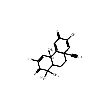 C#CC12C=C(C#N)C(=O)C=C1[C@@]1(C)C=C(C#N)C(=O)C(C)(C)C1CC2